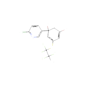 FC(F)(F)C(F)(F)C(F)(F)SC1=CC(Br)(c2ccc(Cl)nc2)[CH]C(Br)=C1